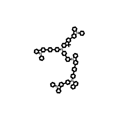 CC1(C)c2cc(-c3ccc4c(c3)c3ccccc3n4-c3ccccc3)ccc2-c2ccc(N(c3ccc(-c4ccc(-c5ccc6c7ccccc7n(-c7ccccc7)c6c5)cc4)cc3)c3ccc(-c4cccc(-n5c6ccccc6c6ccc(-c7ccc(-c8ccc(N(c9ccc(-c%10ccc%11c(c%10)c%10ccccc%10n%11-c%10ccccc%10)cc9)c9cccc%10ccccc9%10)cc8)cc7)cc65)c4)cc3)cc21